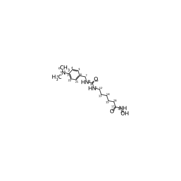 CN(C)c1ccc(CNC(=O)NCCCCCC(=O)NO)cc1